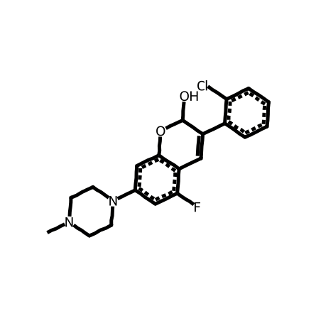 CN1CCN(c2cc(F)c3c(c2)OC(O)C(c2ccccc2Cl)=C3)CC1